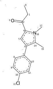 CCC(=O)c1cc(-c2ccc(Cl)cc2)c(C)n1C